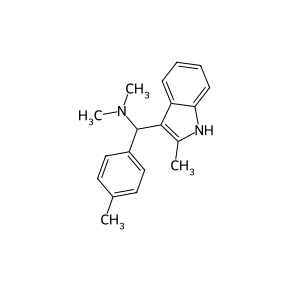 Cc1ccc(C(c2c(C)[nH]c3ccccc23)N(C)C)cc1